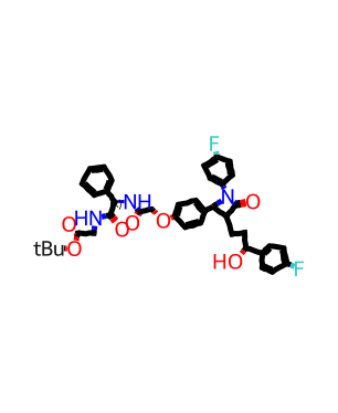 CC(C)(C)OC(=O)CNC(=O)[C@H](NC(=O)COc1ccc(C2C(CCC(O)c3ccc(F)cc3)C(=O)N2c2ccc(F)cc2)cc1)c1ccccc1